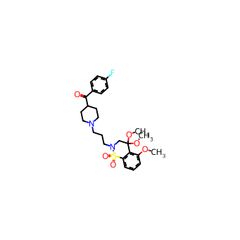 COc1cccc2c1C(OC)(OC)CN(CCCN1CCC(C(=O)c3ccc(F)cc3)CC1)S2(=O)=O